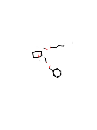 O=C(O)CCCCOC[C@H]1[C@@H](CCOCc2ccccc2)[C@H]2CC[C@@H]1O2